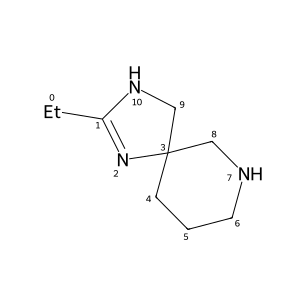 CCC1=NC2(CCCNC2)CN1